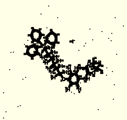 [2H]c1c([2H])c(OC([2H])([2H])C([2H])([2H])C([2H])([2H])C([2H])([2H])C([2H])([2H])C([2H])([2H])[P+](c2ccccc2)(c2ccccc2)c2ccccc2)c([2H])c(NC(=O)OC(C)(C)C)c1NC(=O)OC(C)(C)C.[I-]